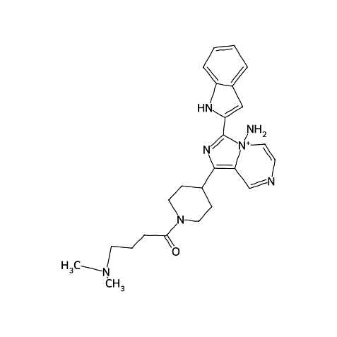 CN(C)CCCC(=O)N1CCC(C2=C3C=NC=C[N+]3(N)C(c3cc4ccccc4[nH]3)=N2)CC1